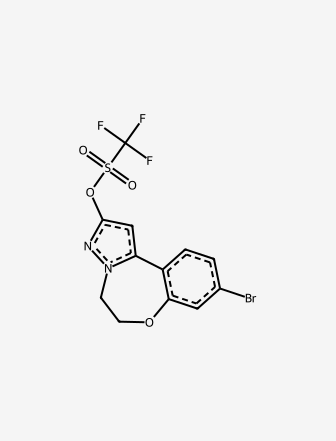 O=S(=O)(Oc1cc2n(n1)CCOc1cc(Br)ccc1-2)C(F)(F)F